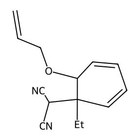 C=CCOC1C=CC=CC1(CC)C(C#N)C#N